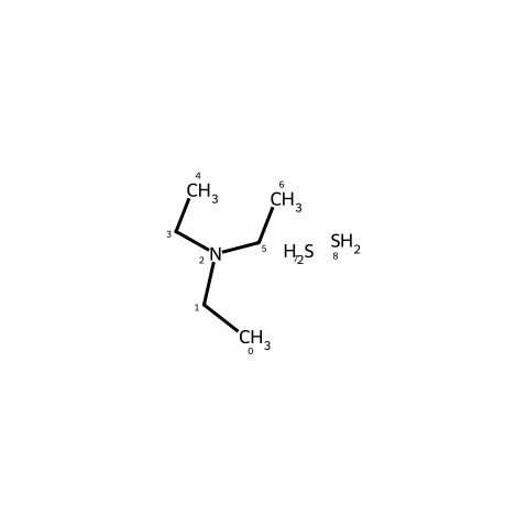 CCN(CC)CC.S.S